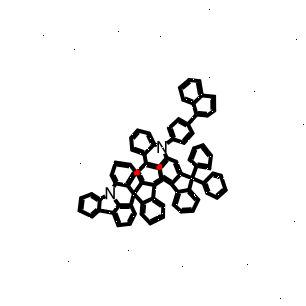 c1ccc(C2(c3ccccc3)c3ccccc3-c3ccc(N(c4ccc(-c5cccc6ccccc56)cc4)c4ccccc4-c4ccc5c(c4)C4(c6ccccc6-5)c5ccccc5-n5c6ccccc6c6cccc4c65)cc32)cc1